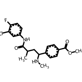 CNC(CC(C)C(=O)Nc1ccc(F)c(Cl)c1)c1ccc(C(=O)OC)cc1